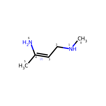 CNC/C=C(/C)N